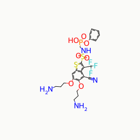 N#Cc1c(OCCCN)c(OCCCN)cc2sc(S(=O)(=O)NCP(=O)(O)Oc3ccccc3)c(C(F)(F)F)c12